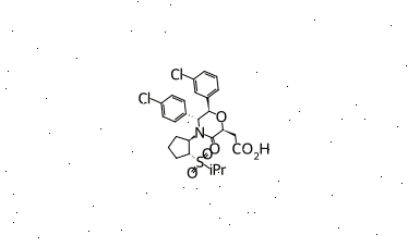 CC(C)S(=O)(=O)[C@@H]1CCC[C@H]1N1C(=O)[C@H](CC(=O)O)O[C@H](c2cccc(Cl)c2)[C@H]1c1ccc(Cl)cc1